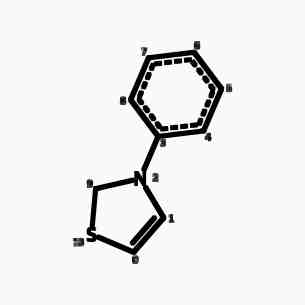 C1=CN(c2ccccc2)CS1